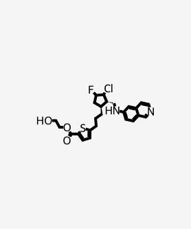 O=C(OCCO)c1ccc(CCC[C@H]2CC(F)C(Cl)[C@@H]2CNc2ccc3cnccc3c2)s1